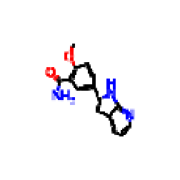 COc1ccc(-c2cc3cccnc3[nH]2)cc1C(N)=O